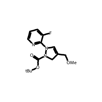 COCC1=CN(c2ncccc2F)N(C(=O)OC(C)(C)C)C1